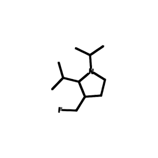 CC(C)C1C(CF)CCN1C(C)C